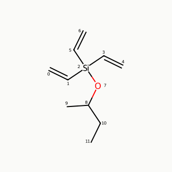 C=C[Si](C=C)(C=C)OC(C)CC